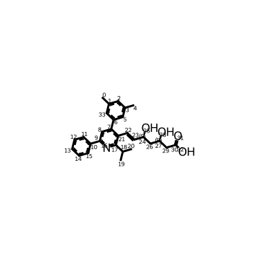 Cc1cc(C)cc(-c2cc(-c3ccccc3)nc(C(C)C)c2C=C[C@@H](O)C[C@@H](O)CC(=O)O)c1